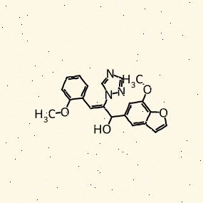 COc1ccccc1C=C(C(O)c1cc(OC)c2occc2c1)n1cncn1